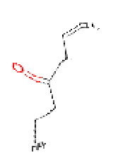 C=C[CH]C(=O)CCCCC